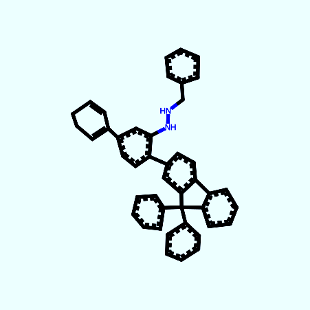 C1=CC(c2ccc(-c3ccc4c(c3)C(c3ccccc3)(c3ccccc3)c3ccccc3-4)c(NNCc3ccccc3)c2)=CCC1